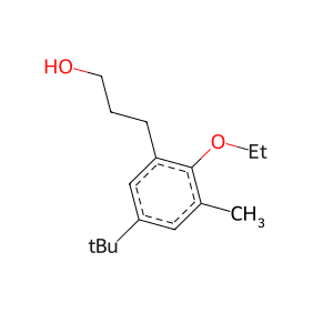 CCOc1c(C)cc(C(C)(C)C)cc1CCCO